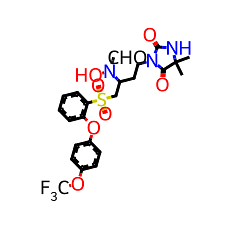 CC1(C)NC(=O)N(CCC(CS(=O)(=O)c2ccccc2Oc2ccc(OC(F)(F)F)cc2)N(O)C=O)C1=O